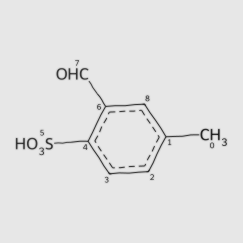 Cc1ccc(S(=O)(=O)O)c(C=O)c1